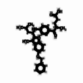 Cc1c(C(CC(C)C)Nc2ccc(C(=O)N(C)CCC(=O)O)cc2)oc2ccc(OCc3ccccc3)cc12